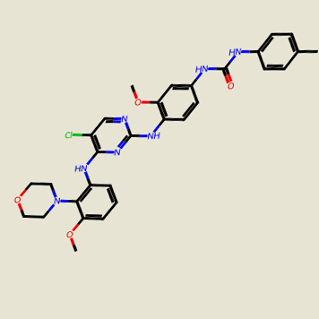 COc1cc(NC(=O)Nc2ccc(C)cc2)ccc1Nc1ncc(Cl)c(Nc2cccc(OC)c2N2CCOCC2)n1